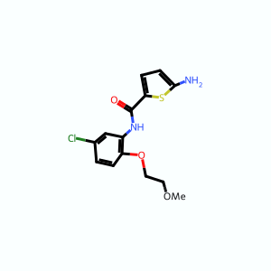 COCCOc1ccc(Cl)cc1NC(=O)c1ccc(N)s1